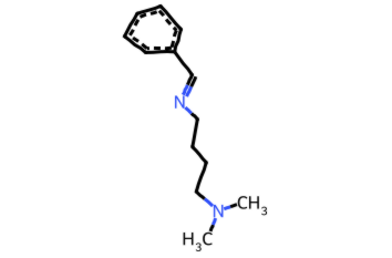 CN(C)CCCCN=Cc1ccccc1